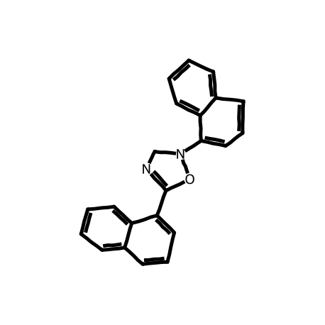 c1ccc2c(C3=NCN(c4cccc5ccccc45)O3)cccc2c1